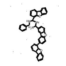 NC(NC(NCc1ccccc1)c1cccc2c1sc1ccccc12)c1ccc2oc3ccc(C4=CC=CC5c6ccccc6OC45)cc3c2c1